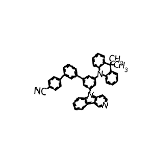 CC1(C)c2ccccc2N(c2cc(-c3cccc(-c4ccc(C#N)cc4)c3)cc(-n3c4ccccc4c4cnccc43)c2)c2ccccc21